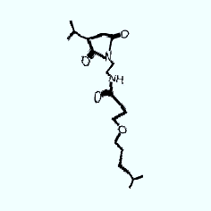 CC(C)CCCOCCC(=O)NCCN1C(=O)CC(C(C)C)C1=O